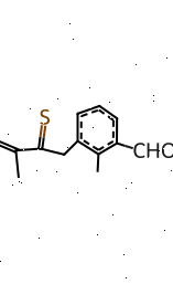 C=C(C)C(=S)Cc1cccc(C=O)c1C